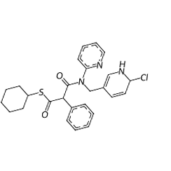 O=C(SC1CCCCC1)C(C(=O)N(CC1=CNC(Cl)C=C1)c1ccccn1)c1ccccc1